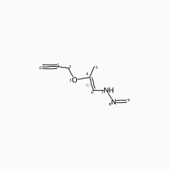 C#CCO/C(C)=C/NN=C